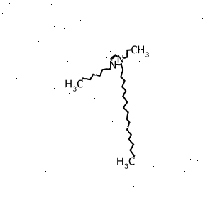 CCCCCCCCCCCCCCCCCCC1N(CCC)C=CN1CCCCCCC